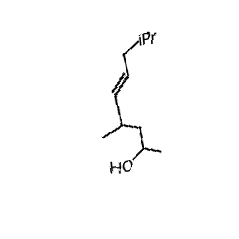 CC(C)C/C=C/C(C)CC(C)O